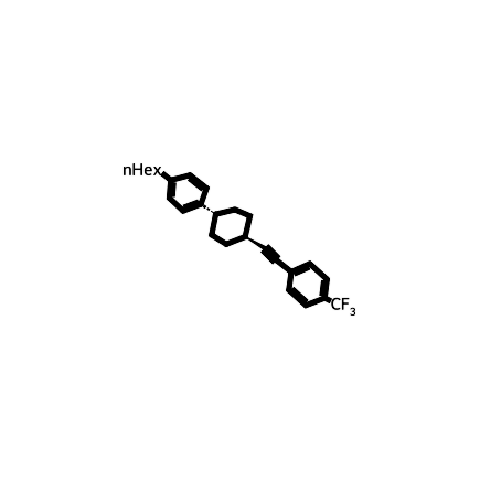 CCCCCCc1ccc([C@H]2CC[C@H](C#Cc3ccc(C(F)(F)F)cc3)CC2)cc1